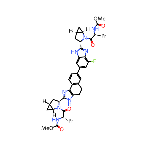 COC(=O)N[C@H](C(=O)N1[C@@H]2C[C@@H]2C[C@H]1c1nc2c([nH]1)CCc1cc(-c3cc(F)c4nc([C@@H]5C[C@H]6C[C@H]6N5C(=O)[C@@H](NC(=O)OC)C(C)C)[nH]c4c3)ccc1-2)C(C)C